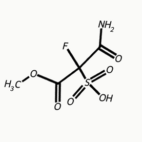 COC(=O)C(F)(C(N)=O)S(=O)(=O)O